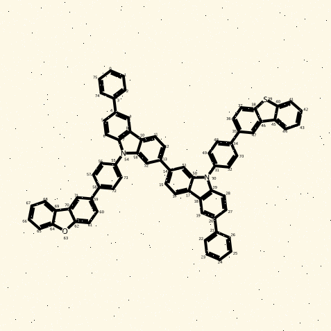 c1ccc(-c2ccc3c(c2)c2ccc(-c4ccc5c6cc(-c7ccccc7)ccc6n(-c6ccc(-c7ccc8sc9ccccc9c8c7)cc6)c5c4)cc2n3-c2ccc(-c3ccc4oc5ccccc5c4c3)cc2)cc1